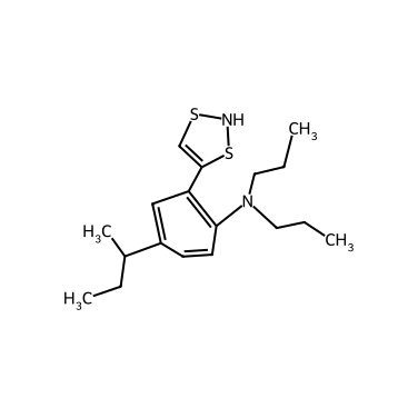 CCCN(CCC)c1ccc(C(C)CC)cc1C1=CSNS1